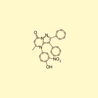 Cc1cc(=O)n2nc(-c3ccccc3)c(-c3ccccc3)c2n1-c1ccc(O)c([N+](=O)[O-])c1